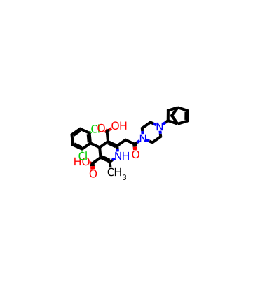 CC1=C(C(=O)O)C(c2c(Cl)cccc2Cl)C(C(=O)O)=C(CC(=O)N2CCN(C3CC4C=CC3C4)CC2)N1